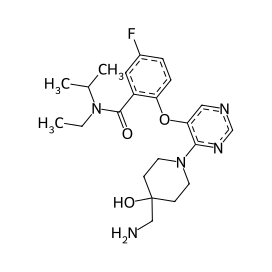 CCN(C(=O)c1cc(F)ccc1Oc1cncnc1N1CCC(O)(CN)CC1)C(C)C